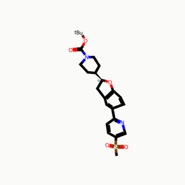 CC(C)(C)OC(=O)N1CCC([C@@H]2Cc3cc(-c4ccc(S(C)(=O)=O)cn4)ccc3O2)CC1